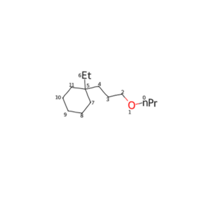 CCCOCCCC1(CC)CCCCC1